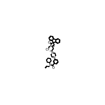 C=CCN(C(=O)c1cccc(N2CCN(CCCCC3(C(=O)NCC(F)(F)F)c4ccccc4-c4ccccc43)CC2)c1)C1CCCCC1